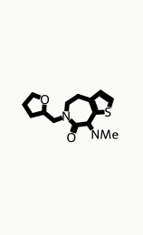 CNC1C(=O)N(CC2CCCO2)CCc2ccsc21